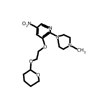 CN1CCN(c2ncc([N+](=O)[O-])cc2OCCOC2CCCCO2)CC1